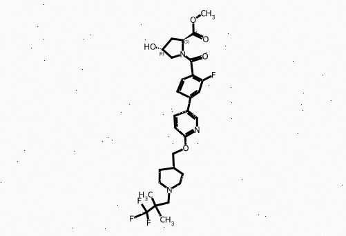 COC(=O)[C@@H]1C[C@@H](O)CN1C(=O)c1ccc(-c2ccc(OCC3CCN(CC(C)(C)C(F)(F)F)CC3)nc2)cc1F